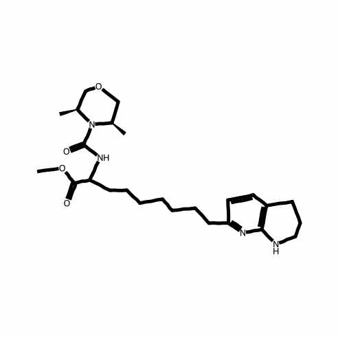 COC(=O)C(CCCCCCCc1ccc2c(n1)NCCC2)NC(=O)N1[C@H](C)COC[C@@H]1C